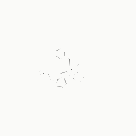 COC1CCC2(CC1)Cc1ccc(CCC3CC3)cc1C21N=C(N)N(Cc2ccccc2F)CC1=O